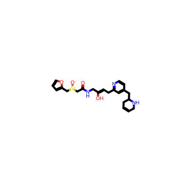 O=C(C[S+]([O-])Cc1ccco1)NC/C(O)=C/Cc1cc(CC2CC=CCN2)ccn1